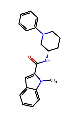 Cn1c(C(=O)N[C@H]2CCCN(c3ccccc3)C2)cc2ccccc21